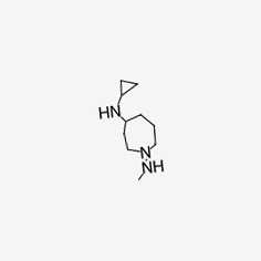 CNN1CCCC(NC2CC2)CC1